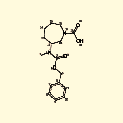 CN(C(=O)OCc1ccccc1)[C@@H]1CCCCN(C(=O)O)C1